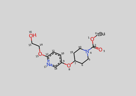 CC(C)(C)OC(=O)N1CCC(Oc2ccc(OCCO)nc2)CC1